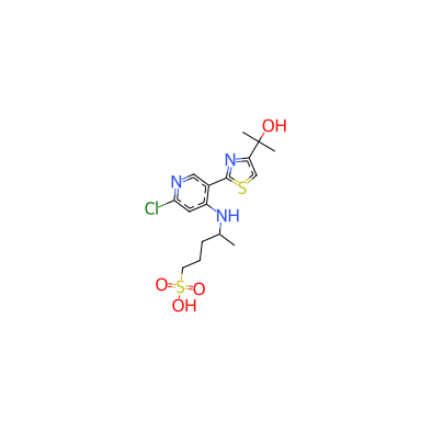 CC(CCCS(=O)(=O)O)Nc1cc(Cl)ncc1-c1nc(C(C)(C)O)cs1